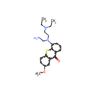 CCN(CC)CCN(CN)c1cccc2c(=O)c3cc(OC)ccc3sc12